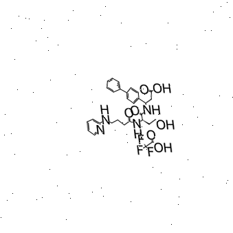 O=C(O)C(F)(F)F.O=C(O)CC(NC(=O)[C@@H](CCO)NC(=O)CCCNc1ccccn1)c1ccc(-c2ccccc2)cc1